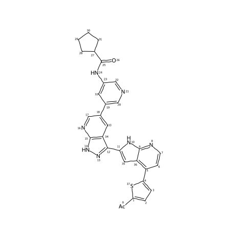 CC(=O)c1ccc(-c2ccnc3[nH]c(-c4n[nH]c5ncc(-c6cncc(NC(=O)C7CCCC7)c6)cc45)cc23)s1